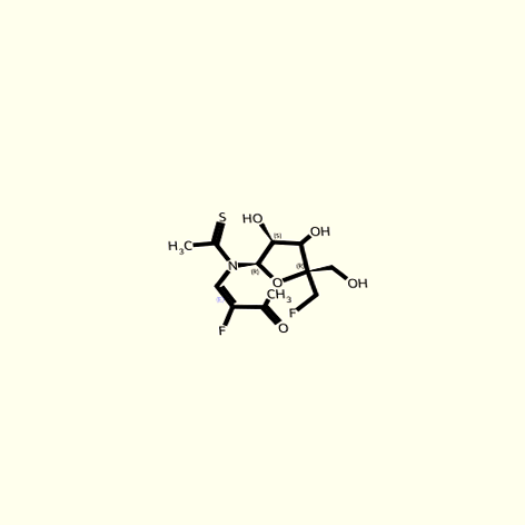 CC(=O)/C(F)=C\N(C(C)=S)[C@@H]1O[C@@](CO)(CF)C(O)[C@@H]1O